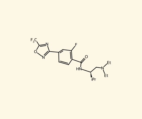 CCN(CC)C[C@H](NC(=O)c1ccc(-c2noc(C(F)(F)F)n2)cc1F)C(C)C